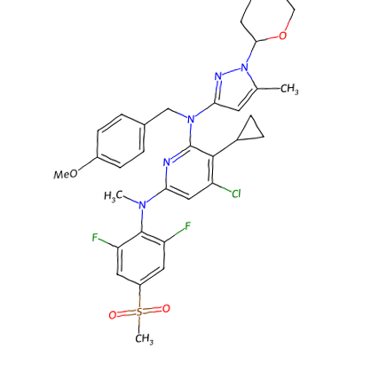 COc1ccc(CN(c2cc(C)n(C3CCCCO3)n2)c2nc(N(C)c3c(F)cc(S(C)(=O)=O)cc3F)cc(Cl)c2C2CC2)cc1